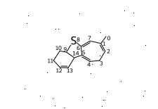 CC1=CCC=C2C(=C1)SC1CCC=CC21